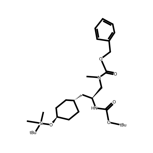 CN(C[C@H](C[C@H]1CC[C@H](O[Si](C)(C)C(C)(C)C)CC1)NC(=O)OC(C)(C)C)C(=O)OCc1ccccc1